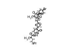 COC(=O)[C@H](C)NP(=O)(OC[C@H]1OC[C@@H](n2ccc(NC(=O)C(C)CCC(C)C)nc2=O)O1)Oc1ccc(Br)cc1